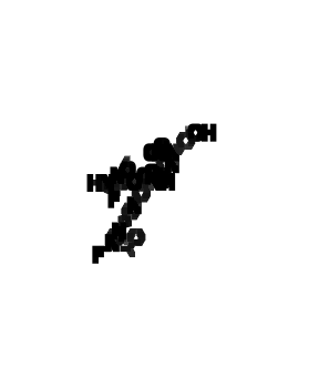 CCOc1nc2[nH]cc(F)c2cc1Oc1cc(N2CCC3(CC2)CC(N2CCN(CCF)C[C@H]2c2ccccc2C(C)C)C3)ccc1C(=O)NS(=O)(=O)c1cnc(NCC2CCC(C)(O)CC2)c([N+](=O)[O-])c1